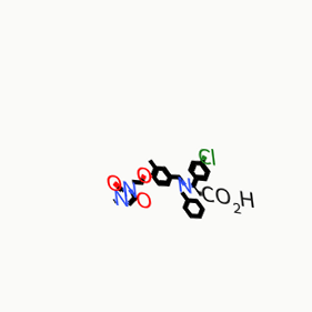 Cc1cc(CN(CC2CCCCC2)[C@H](CC(=O)O)c2ccc(Cl)cc2)ccc1OCCN1C(=O)CN(C)C1=O